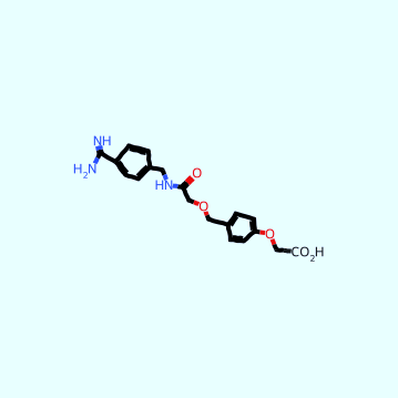 N=C(N)c1ccc(CNC(=O)COCc2ccc(OCC(=O)O)cc2)cc1